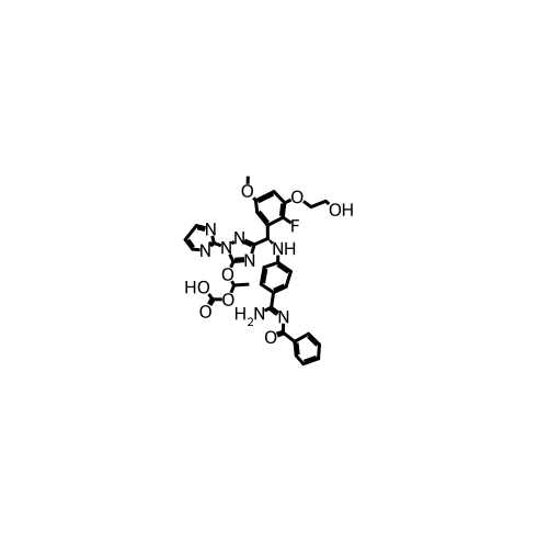 COc1cc(OCCO)c(F)c([C@@H](Nc2ccc(/C(N)=N/C(=O)c3ccccc3)cc2)c2nc(OC(C)OC(=O)O)n(-c3ncccn3)n2)c1